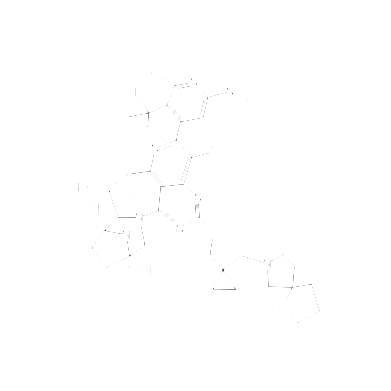 Cc1nc(N)cc(-c2nc3c4c(nc(OCC5(CN6CCC7(CCCO7)C6)CC5)nc4c2F)N2C[C@H]4CC[C@H](N4)[C@H]2[C@H](C)O3)c1C(F)(F)F